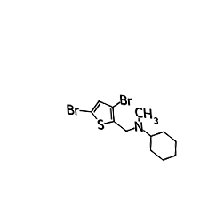 CN(Cc1sc(Br)cc1Br)C1CCCCC1